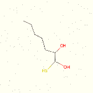 CCCCCC(O)C(O)S